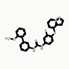 COc1ccccc1-c1cccc(NC(=O)Nc2ccc(Oc3cccn4nccc34)c(F)c2)c1